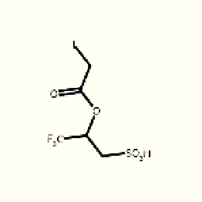 O=C(CI)OC(CS(=O)(=O)O)C(F)(F)F